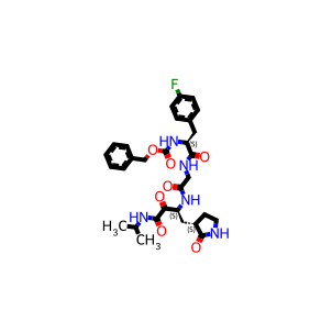 CC(C)NC(=O)C(=O)[C@H](C[C@@H]1CCNC1=O)NC(=O)CNC(=O)[C@H](Cc1ccc(F)cc1)NC(=O)OCc1ccccc1